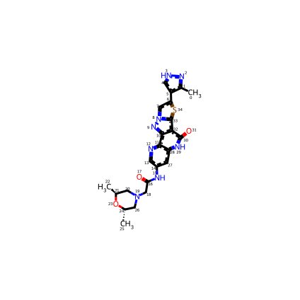 Cc1n[nH]cc1-c1cn2nc3c4ncc(NC(=O)CN5C[C@H](C)O[C@@H](C)C5)cc4[nH]c(=O)c3c2s1